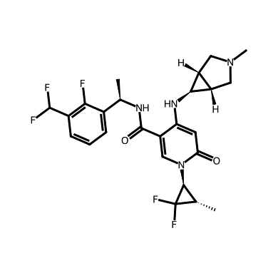 C[C@@H](NC(=O)c1cn([C@H]2[C@H](C)C2(F)F)c(=O)cc1N[C@H]1[C@@H]2CN(C)C[C@@H]21)c1cccc(C(F)F)c1F